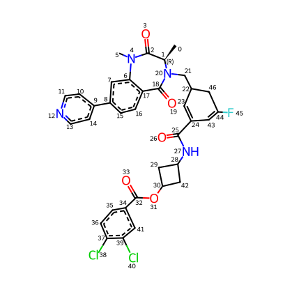 C[C@@H]1C(=O)N(C)c2cc(-c3ccncc3)ccc2C(=O)N1CC1C=C(C(=O)NC2CC(OC(=O)c3ccc(Cl)c(Cl)c3)C2)C=C(F)C1